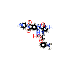 CN1CCC(N2C(=O)c3cc4nc(-c5c(NCC(O)COc6cccc(N(C)C)c6)cc[nH]c5=O)[nH]c4cc3C2=O)CC1